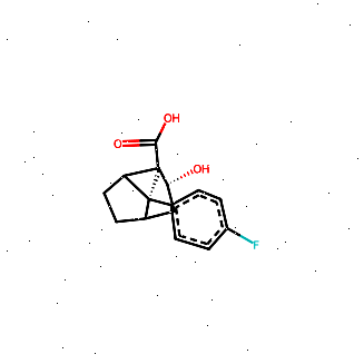 O=C(O)C[C@]1(c2ccc(F)cc2)C2CCC1C[C@H](O)C2